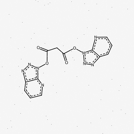 O=C(CC(=O)On1nnc2cccnc21)On1nnc2cccnc21